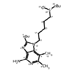 CCCCc1nc2c(N)nc(C)c(C)c2n1CCCCC[S+]([O-])CCCC